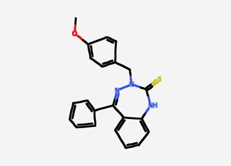 COc1ccc(CN2N=C(c3ccccc3)c3ccccc3NC2=S)cc1